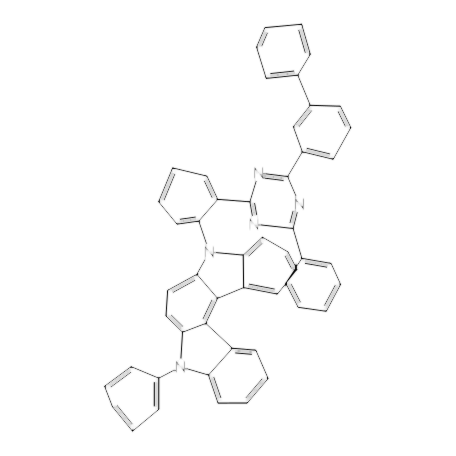 c1ccc(-c2cccc(-c3nc(-c4ccccc4)nc(-c4ccccc4-n4c5ccccc5c5c6c7ccccc7n(-c7ccccc7)c6ccc54)n3)c2)cc1